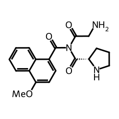 COc1ccc(C(=O)N(C(=O)CN)C(=O)[C@@H]2CCCN2)c2ccccc12